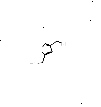 NCc1csc(CO)c1